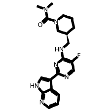 CN(C)C(=O)N1CCC[C@@H](CNc2nc(-c3c[nH]c4ncccc34)ncc2F)C1